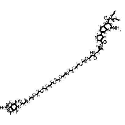 CCCN(OCC)C(=O)C1=Cc2ccc(-c3cncc(C(=O)N4CC(CNC(=O)CCOCCOCCOCCOCCOCCOCCOCCOCCOCCOCCC(=O)Oc5c(F)c(F)c(S(=O)(=O)O)c(F)c5F)C4)c3)cc2N=C(N)C1